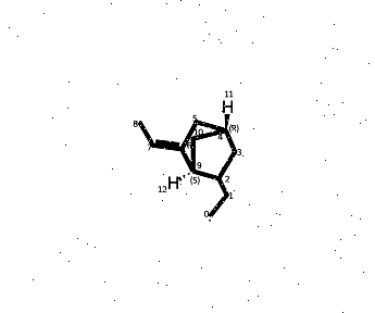 [CH2]CC1C[C@H]2CC(=CC)[C@H]1C2